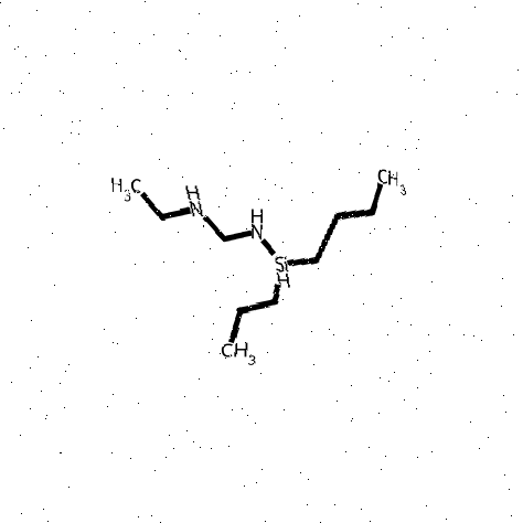 CCCC[SiH](CCC)NCNCC